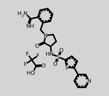 N=C(N)c1ccccc1CN1CCC(NS(=O)(=O)c2ccc(-c3cccnc3)s2)C1=O.O=C(O)C(F)(F)F